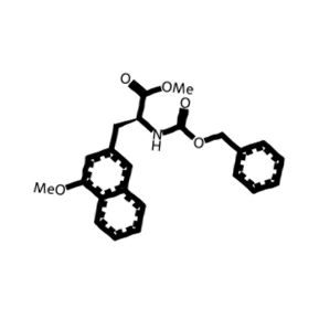 COC(=O)[C@H](Cc1cc(OC)c2ccccc2c1)NC(=O)OCc1ccccc1